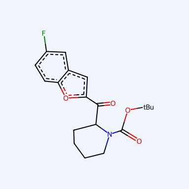 CC(C)(C)OC(=O)N1CCCCC1C(=O)c1cc2cc(F)ccc2o1